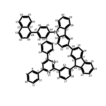 c1ccc(-c2cc(-c3ccccc3)nc(-c3cccc(C4c5ccccc5-c5ccc(-c6ccc7c(c6)c6ccccc6n7-c6ccc(-c7cccc8ccccc78)cc6)cc54)c3)n2)cc1